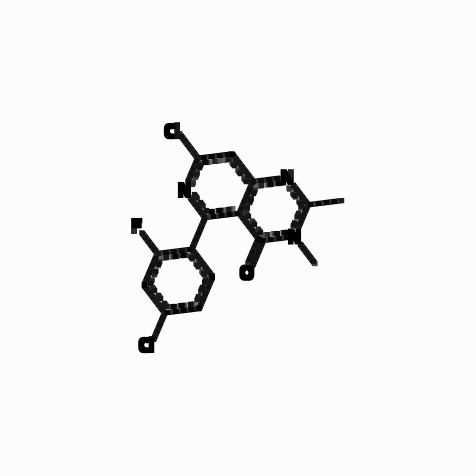 Cc1nc2cc(Cl)nc(-c3ccc(Cl)cc3F)c2c(=O)n1C